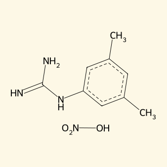 Cc1cc(C)cc(NC(=N)N)c1.O=[N+]([O-])O